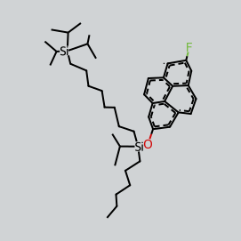 CCCCCC[Si](CCCCCCCC[Si](C(C)C)(C(C)C)C(C)C)(Oc1cc2ccc3[c]c(F)cc4ccc(c1)c2c34)C(C)C